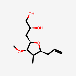 C=CC[C@@H]1O[C@H](C[C@H](O)CO)[C@H](OC)C1C